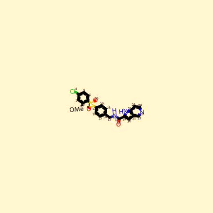 COc1cc(Cl)ccc1S(=O)(=O)c1ccc(CNC(=O)c2cc3cnccc3[nH]2)cc1